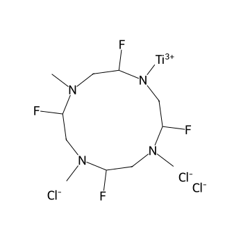 CN1CC(F)N(C)CC(F)[N]([Ti+3])CC(F)N(C)CC1F.[Cl-].[Cl-].[Cl-]